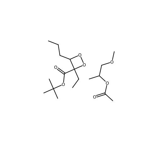 CCCC1OOC1(CC)C(=O)OC(C)(C)C.COCC(C)OC(C)=O